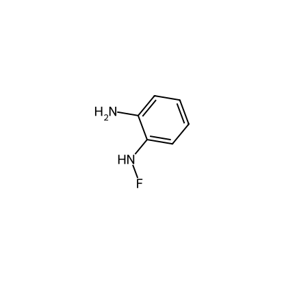 Nc1ccccc1NF